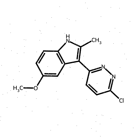 COc1ccc2[nH]c(C)c(-c3ccc(Cl)nn3)c2c1